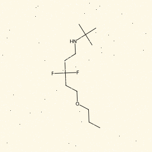 CCCOCCC(F)(F)CCNC(C)(C)C